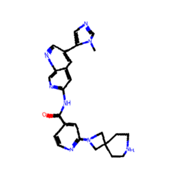 Cn1cncc1-c1cnc2cnc(NC(=O)c3ccnc(N4CC5(CCNCC5)C4)c3)cc2c1